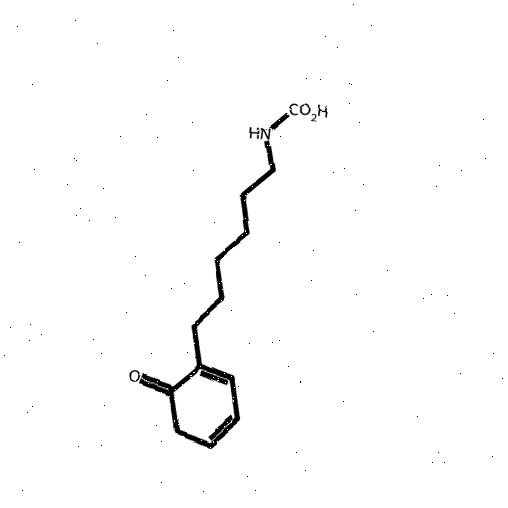 O=C(O)NCCCCCCC1=CC=CCC1=O